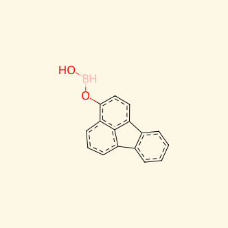 OBOc1ccc2c3c(cccc13)-c1ccccc1-2